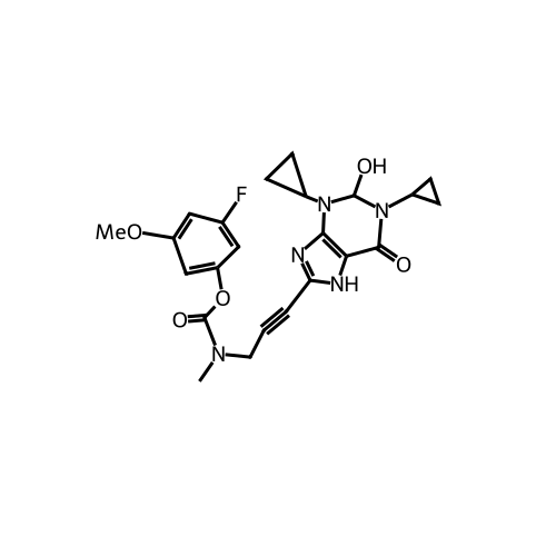 COc1cc(F)cc(OC(=O)N(C)CC#Cc2nc3c([nH]2)C(=O)N(C2CC2)C(O)N3C2CC2)c1